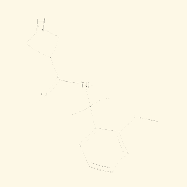 COc1ccccc1C(C)(C)NC(=O)C1CNC1